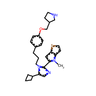 Cn1c(-c2ncc(C3CCC3)n2CCCc2ccc(OCC3CCNC3)cc2)cc2sccc21